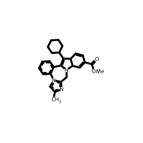 COC(=O)C1=CC2C(C=C1)C(C1CCCCC1)=C1c3ccccc3-n3cc(C)nc3CN12